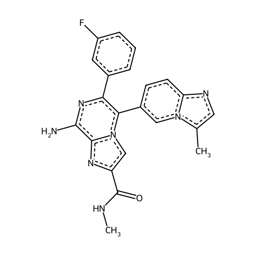 CNC(=O)c1cn2c(-c3ccc4ncc(C)n4c3)c(-c3cccc(F)c3)nc(N)c2n1